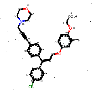 Cc1cc(OCC=C(c2ccc(Cl)cc2)c2ccc(C#CCN3CCOCC3)cc2)ccc1OCC(=O)O